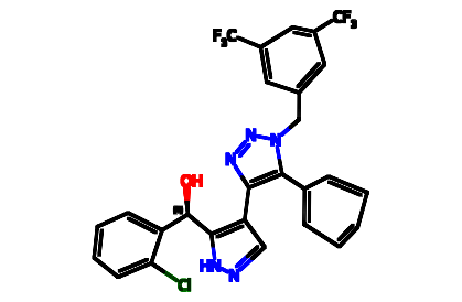 O[C@H](c1ccccc1Cl)c1[nH]ncc1-c1nnn(Cc2cc(C(F)(F)F)cc(C(F)(F)F)c2)c1-c1ccccc1